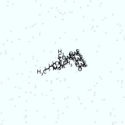 CCCCC(CC)[CH2][Mo+4][CH2]C(CC)CCCC.O=C([O-])n1ss1.O=C([O-])n1ss1.O=C([O-])n1ss1.O=C([O-])n1ss1